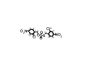 O=[N+]([O-])c1ccc(COS(=O)(=O)SCc2ccc([N+](=O)[O-])cc2Cl)c(Cl)c1